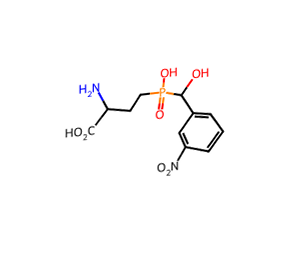 NC(CCP(=O)(O)C(O)c1cccc([N+](=O)[O-])c1)C(=O)O